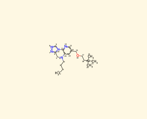 CCCCN1Cc2nncn2-c2ncc(COCC[Si](C)(C)C)cc21